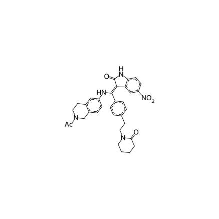 CC(=O)N1CCc2cc(NC(=C3C(=O)Nc4ccc([N+](=O)[O-])cc43)c3ccc(CCN4CCCCC4=O)cc3)ccc2C1